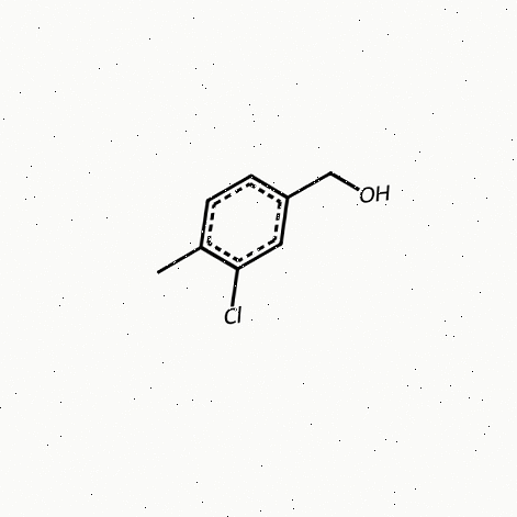 Cc1ccc(CO)cc1Cl